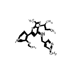 CCOc1cnccc1-c1cc(NCc2cnn(C)c2)c2c(n1)c(C)nn2[C@@H](C)CC